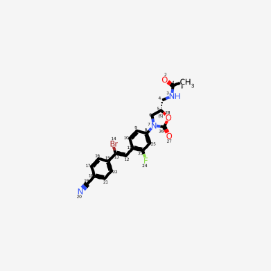 CC(=O)NC[C@H]1CN(c2ccc(C=C(Br)c3ccc(C#N)cc3)c(F)c2)C(=O)O1